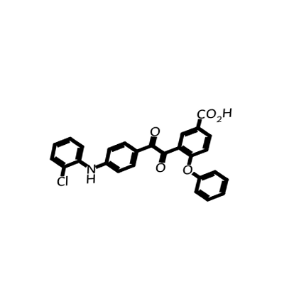 O=C(O)c1ccc(Oc2ccccc2)c(C(=O)C(=O)c2ccc(Nc3ccccc3Cl)cc2)c1